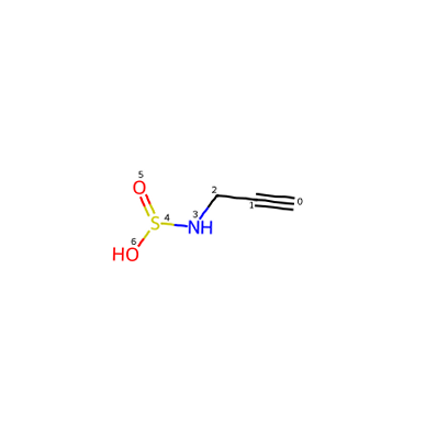 C#CCNS(=O)O